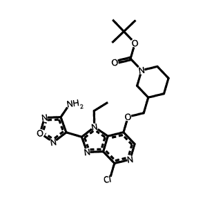 CCn1c(-c2nonc2N)nc2c(Cl)ncc(OCC3CCCN(C(=O)OC(C)(C)C)C3)c21